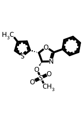 Cc1csc([C@@H]2OC(c3ccccc3)=N[C@@H]2OS(C)(=O)=O)c1